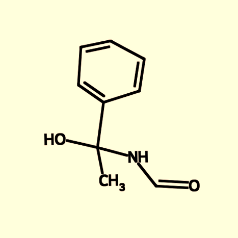 CC(O)(NC=O)c1ccccc1